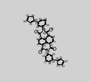 O=C1c2ccc3c4c(ccc(c24)C(=O)N1c1cccc(C2=CC=CC2)c1)C(=O)N(c1cccc(C2=CC=CC2)c1)C3=O